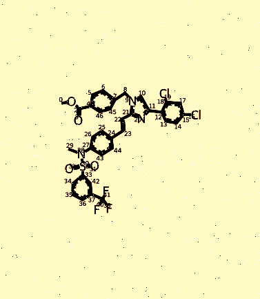 COC(=O)c1ccc(Cn2cc(-c3ccc(Cl)cc3Cl)nc2C=Cc2ccc(N(C)S(=O)(=O)c3cccc(C(F)(F)F)c3)cc2)cc1